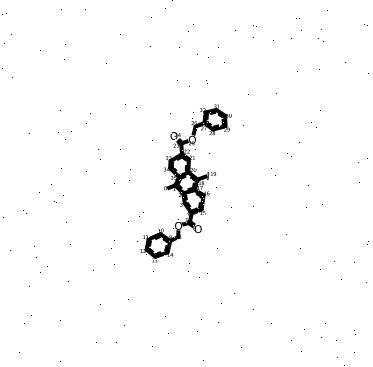 Cc1c2cc(C(=O)OCc3ccccc3)ccc2c(I)c2cc(C(=O)OCc3ccccc3)ccc12